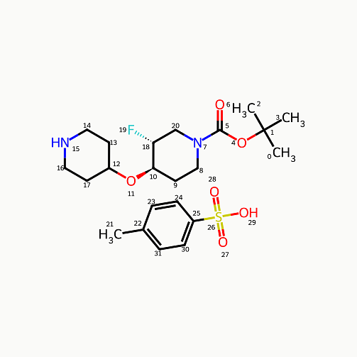 CC(C)(C)OC(=O)N1CC[C@@H](OC2CCNCC2)[C@H](F)C1.Cc1ccc(S(=O)(=O)O)cc1